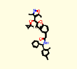 Cc1ccc(C(NC(=O)Cc2ccc3oc(C(OC4(C(=O)O)CC4)c4c(C)noc4C)cc3c2)c2ccccc2)c(C)c1